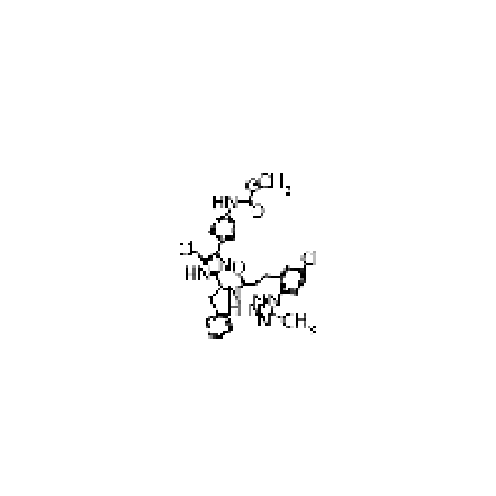 COC(=O)Nc1ccc(-c2nc([C@H](Cc3ccccc3)NC(=O)CCc3cc(Cl)ccc3-n3nnnc3C)[nH]c2Cl)cc1